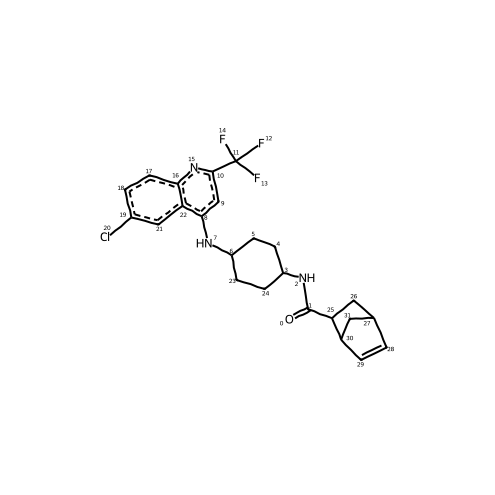 O=C(NC1CCC(Nc2cc(C(F)(F)F)nc3ccc(Cl)cc23)CC1)C1CC2C=CC1C2